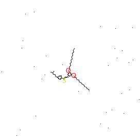 CCCCCCCCCCCCCOc1cc(C=CC(=S)c2ccc(CCCC(C)C)cc2)cc(OCCCCCCCCCCCCC)c1